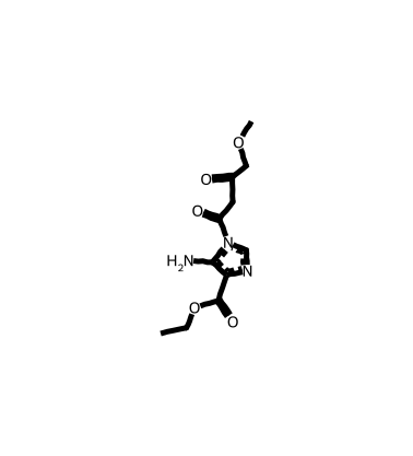 CCOC(=O)c1ncn(C(=O)CC(=O)COC)c1N